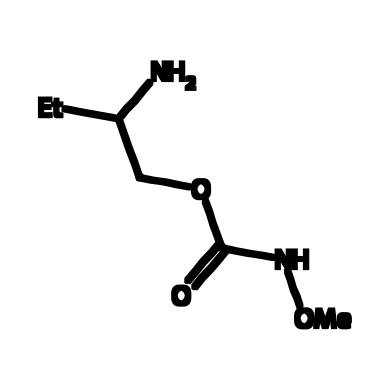 CCC(N)COC(=O)NOC